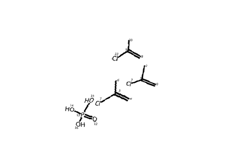 C=C(C)Cl.C=C(C)Cl.C=C(C)Cl.O=P(O)(O)O